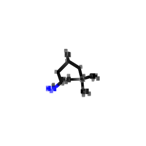 CCC(CCN)C[Si](C)(C)C